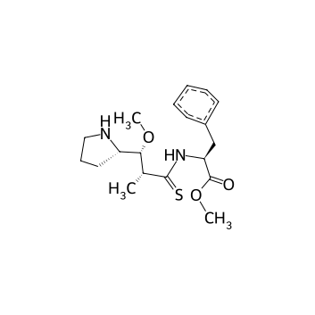 COC(=O)[C@H](Cc1ccccc1)NC(=S)[C@H](C)[C@@H](OC)[C@@H]1CCCN1